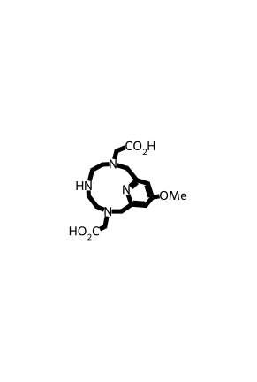 COc1cc2nc(c1)CN(CC(=O)O)CCNCCN(CC(=O)O)C2